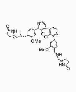 COc1cc(-c2nccc(-c3ccnc(-c4ccc(CNC[C@H]5CCC(=O)N5)c(OC)c4)c3Cl)c2Cl)ccc1CNC[C@H]1CCC(=O)N1